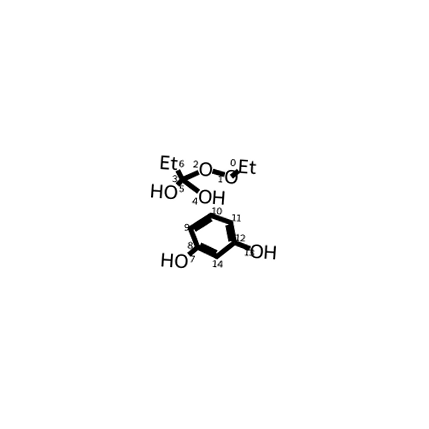 CCOOC(O)(O)CC.Oc1cccc(O)c1